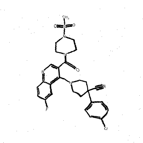 CS(=O)(=O)N1CCN(C(=O)c2cnc3ccc(F)cc3c2N2CCC(C#N)(c3ccc(Cl)cc3)CC2)CC1